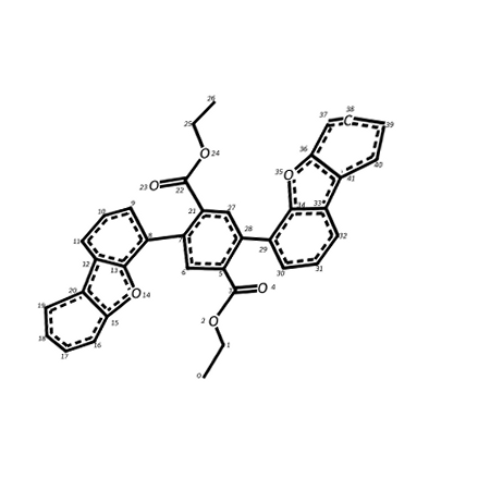 CCOC(=O)c1cc(-c2cccc3c2oc2ccccc23)c(C(=O)OCC)cc1-c1cccc2c1oc1ccccc12